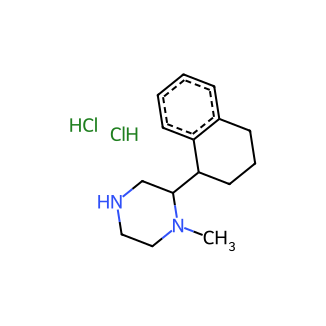 CN1CCNCC1C1CCCc2ccccc21.Cl.Cl